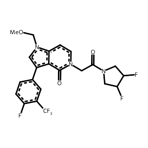 COCn1cc(-c2ccc(F)c(C(F)(F)F)c2)c2c(=O)n(CC(=O)N3CC(F)C(F)C3)ccc21